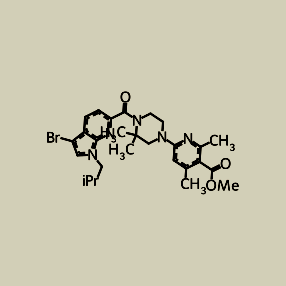 COC(=O)c1c(C)cc(N2CCN(C(=O)c3ccc4c(Br)cn(CC(C)C)c4n3)C(C)(C)C2)nc1C